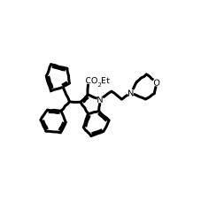 CCOC(=O)c1c(C(c2ccccc2)c2ccccc2)c2ccccc2n1CCN1CCOCC1